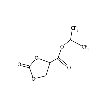 O=C1OCC(C(=O)OC(C(F)(F)F)C(F)(F)F)O1